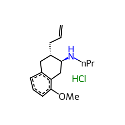 C=CC[C@H]1Cc2cccc(OC)c2C[C@@H]1NCCC.Cl